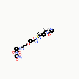 Cc1ncccc1C(=O)N1CCc2cc(-c3nc(NC(=O)Cc4cccc(OCCCCCNc5cccc6c5C(=O)N(C5CCC(=O)NC5=O)C6=O)c4)sc3C)ccc21